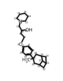 CC1(c2ccc(OCCC(O)CN3CCCCC3)cc2)CC2CC3CC(C1)C32